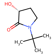 CC(C)(C)N1CC[C@@H](O)C1=O